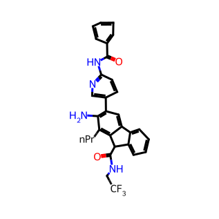 CCCc1c(N)c(-c2ccc(NC(=O)c3ccccc3)nc2)cc2c1C(C(=O)NCC(F)(F)F)c1ccccc1-2